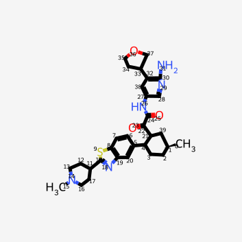 C[C@H]1CCC(c2ccc3sc(C4CCN(C)CC4)nc3c2)C(C(=O)C(=O)Nc2cnc(N)c(C3CCOC3)c2)C1